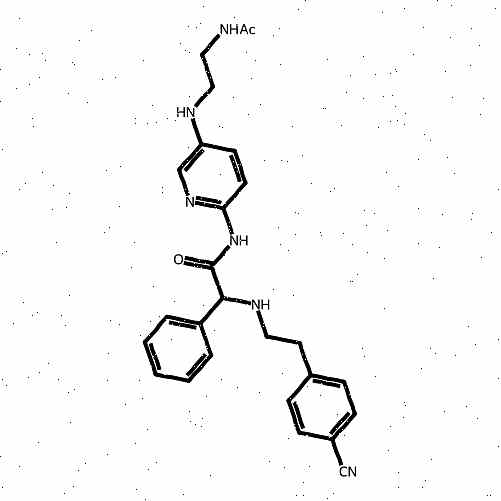 CC(=O)NCCNc1ccc(NC(=O)C(NCCc2ccc(C#N)cc2)c2ccccc2)nc1